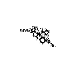 COC(=O)Cc1cc2ccc(OCCN)cc2n(Cc2ccccc2)c1=O